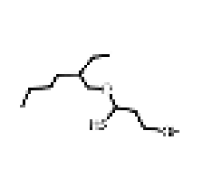 CCCCC(CC)COC(S)CCO